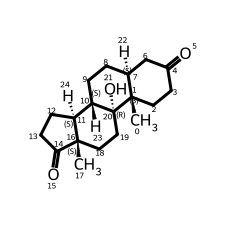 C[C@]12CCC(=O)C[C@@H]1CC[C@H]1[C@@H]3CCC(=O)[C@@]3(C)CC[C@@]12O